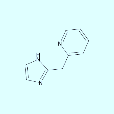 c1ccc(Cc2ncc[nH]2)nc1